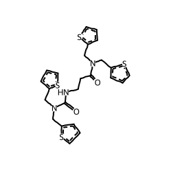 O=C(CCNC(=O)N(Cc1cccs1)Cc1cccs1)N(Cc1cccs1)Cc1cccs1